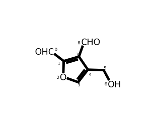 O=Cc1occ(CO)c1C=O